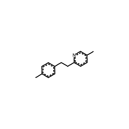 Cc1ccc(CCc2ccc(C)cn2)cc1